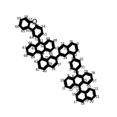 c1cc(-c2ccc(-c3c4ccccc4c(-c4cccc5ccccc45)c4ccccc34)cc2)c2cc(-c3ccc4cccc(-c5c6ccccc6c(-c6ccc7oc8ccccc8c7c6)c6ccccc56)c4c3)ccc2c1